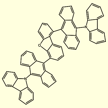 c1cc(-c2c3ccccc3c(-n3c4ccccc4c4ccccc43)c3ccccc23)c2c(c1)oc1c(-c3c4ccccc4c(-n4c5ccccc5c5ccccc54)c4ccccc34)cccc12